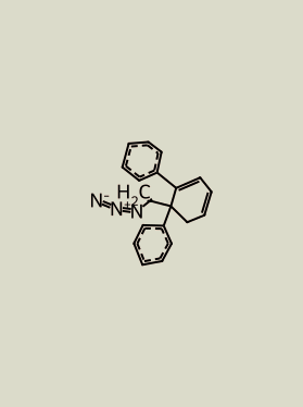 C=C(N=[N+]=[N-])C1(c2ccccc2)CC=CC=C1c1ccccc1